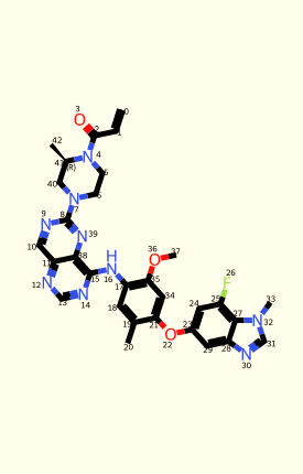 C=CC(=O)N1CCN(c2ncc3ncnc(Nc4cc(C)c(Oc5cc(F)c6c(c5)ncn6C)cc4OC)c3n2)C[C@H]1C